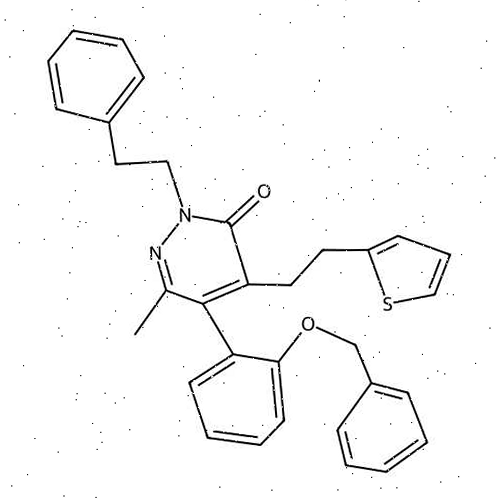 Cc1nn(CCc2ccccc2)c(=O)c(CCc2cccs2)c1-c1ccccc1OCc1ccccc1